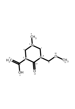 C=C(O)N1CN(C)CN(COC)C1=O